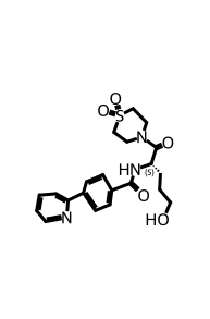 O=C(N[C@@H](CCCO)C(=O)N1CCS(=O)(=O)CC1)c1ccc(-c2ccccn2)cc1